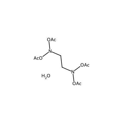 CC(=O)ON(CCN(OC(C)=O)OC(C)=O)OC(C)=O.O